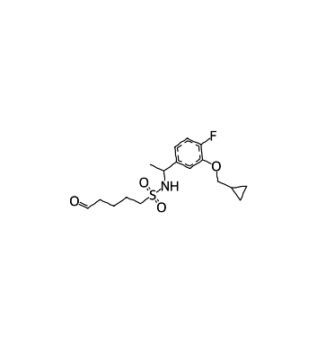 CC(NS(=O)(=O)CCCCC=O)c1ccc(F)c(OCC2CC2)c1